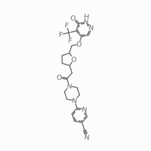 N#Cc1ccc(N2CCN(C(=O)CC3CCC(COc4cn[nH]c(=O)c4C(F)(F)F)O3)CC2)nc1